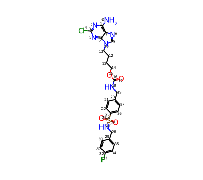 Nc1nc(Cl)nc2c1ncn2CCCCOC(=O)NCc1ccc(S(=O)(=O)NCc2ccc(F)cc2)cc1